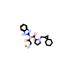 CCC(=O)N(C(=O)[C@@H]1CCCN1CC1CC12CCCCC2)c1nc2ccccc2[nH]1